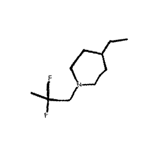 CCC1CCN(CC(C)(F)F)CC1